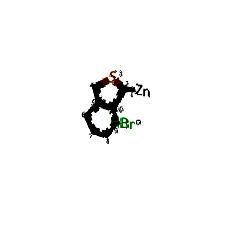 Br.[Zn][c]1scc2ccccc12